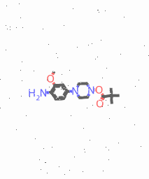 COc1cc(N2CCN(OC(=O)C(C)(C)C)CC2)ccc1N